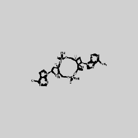 C=C1OP(=O)(S)OC[C@H]2O[C@@H](n3ccc4c(Cl)ncnc43)C[C@@H]2OP(O)(=S)OC[C@H]2C[C@@H](n3cnc4c(N)ncnc43)[C@H]12